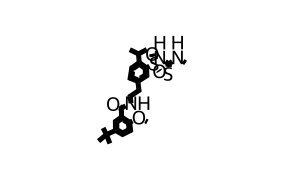 CNC(=S)NS(=O)(=O)c1cc(CCNC(=O)c2cc(C(C)(C)C)ccc2OC)ccc1C(C)C